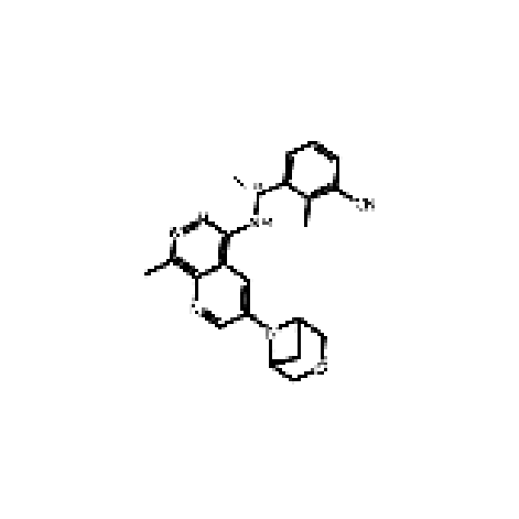 Cc1c(C#N)cccc1[C@@H](C)Nc1nnc(C)c2ncc(N3C4COCC3C4)cc12